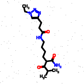 CCn1cc(CCC(=O)NCCCCC(C(N)=O)C(=O)C(C)C)nn1